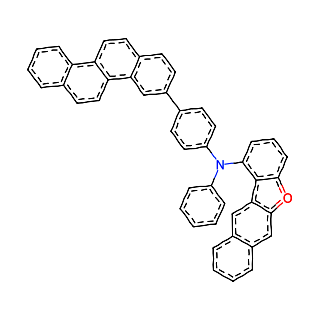 c1ccc(N(c2ccc(-c3ccc4ccc5c6ccccc6ccc5c4c3)cc2)c2cccc3oc4cc5ccccc5cc4c23)cc1